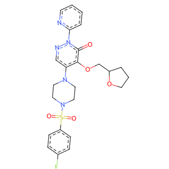 O=c1c(OCC2CCCO2)c(N2CCN(S(=O)(=O)c3ccc(F)cc3)CC2)cnn1-c1ccccn1